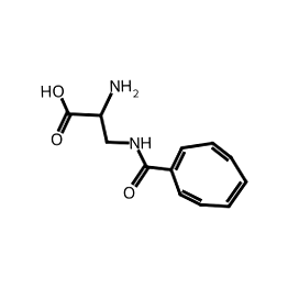 NC(CNC(=O)C1=CC=CC=CC=C1)C(=O)O